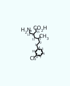 CC(CCc1cccc(Cl)c1)CC(CN)CC(=O)O